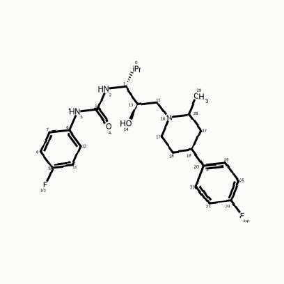 CC(C)[C@@H](NC(=O)Nc1ccc(F)cc1)[C@H](O)CN1CCC(c2ccc(F)cc2)CC1C